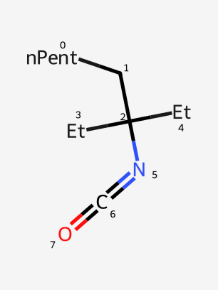 CCCCCCC(CC)(CC)N=C=O